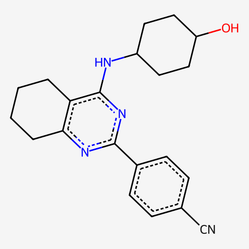 N#Cc1ccc(-c2nc3c(c(NC4CCC(O)CC4)n2)CCCC3)cc1